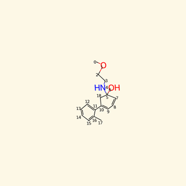 COCCNC1(O)C=CC=C(c2ccccc2C)C1